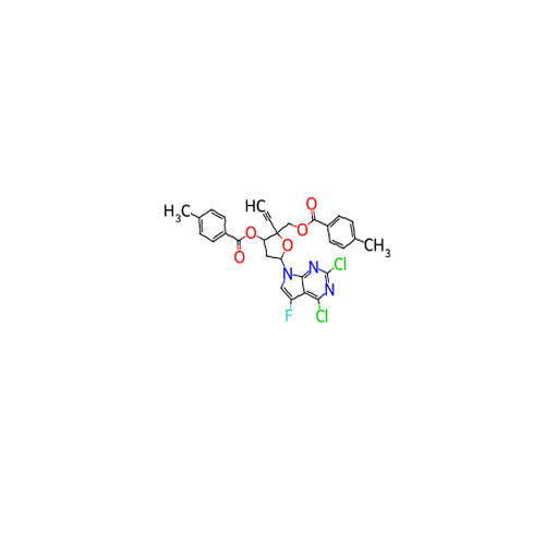 C#CC1(COC(=O)c2ccc(C)cc2)OC(n2cc(F)c3c(Cl)nc(Cl)nc32)CC1OC(=O)c1ccc(C)cc1